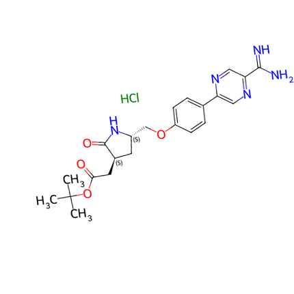 CC(C)(C)OC(=O)C[C@@H]1C[C@@H](COc2ccc(-c3cnc(C(=N)N)cn3)cc2)NC1=O.Cl